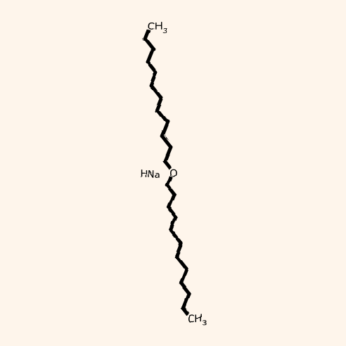 CCCCCCCCCCCCOCCCCCCCCCCCC.[NaH]